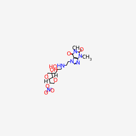 Cn1c(=O)c2c(ncn2CCNCC(O)C[C@@]2(O)CO[C@@H]3[C@@H](O[N+](=O)[O-])CO[C@@H]32)n(C)c1=O